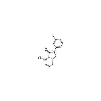 O=C1c2c(Cl)cccc2CN1c1cccc(I)c1